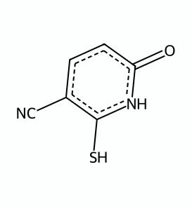 N#Cc1ccc(=O)[nH]c1S